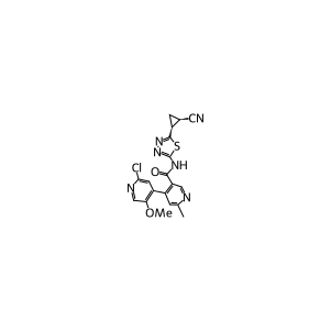 COc1cnc(Cl)cc1-c1cc(C)ncc1C(=O)Nc1nnc([C@H]2C[C@H]2C#N)s1